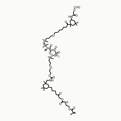 C=C(C)C(=O)OCCNC(=O)OCC(=O)CCCCC1CC(C)(C)CC(C)(CNC(=O)OCCOCCC[Si](C)(C)O[SiH2][Si](=O)[Si](=O)[Si](=O)[Si](=O)[Si](=O)[Si](C)(C)O[Si](C)(C)CCCOCCCCCCC(=O)C2(C)CC(NC(=O)COC=O)CC(C)(C)C2)C1